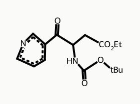 CCOC(=O)CC(NC(=O)OC(C)(C)C)C(=O)c1cccnc1